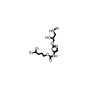 CCC(CC)CCCOC(=O)Nc1cnc(OCC(O)CNC(C)C)s1